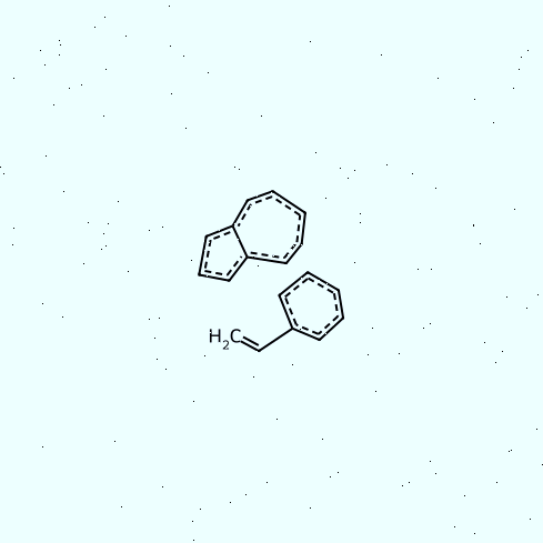 C=Cc1ccccc1.c1ccc2cccc-2cc1